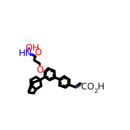 O=C(O)/C=C/c1ccc(-c2ccc(OCCC(=O)NO)c(C34CC=C5C(CC5C3)C4)c2)cc1